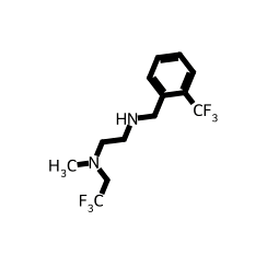 CN(CCNCc1ccccc1C(F)(F)F)CC(F)(F)F